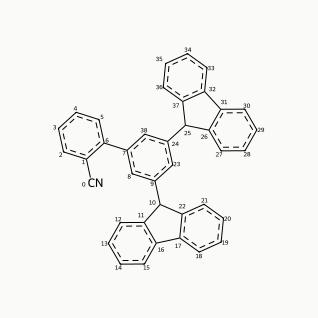 N#Cc1ccccc1-c1cc(C2c3ccccc3-c3ccccc32)cc(C2c3ccccc3-c3ccccc32)c1